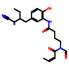 C/C=C\C(=O)N(C=O)CCCC(=O)Nc1cc(CC(BC#N)CC)ccc1O